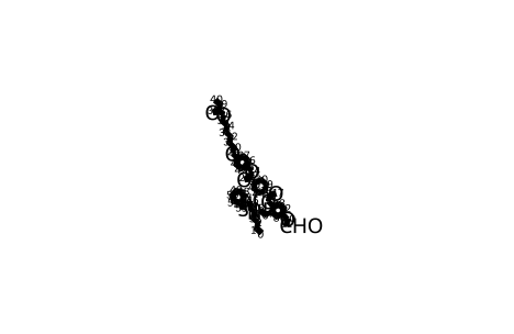 C=CCCN(/N=C/c1cc(OC=O)ccc1OC(=O)[C@H]1CC[C@H](C(=O)Oc2ccc(OCCCCCCOC(=O)C=C)cc2)CC1)c1nc2ccccc2s1